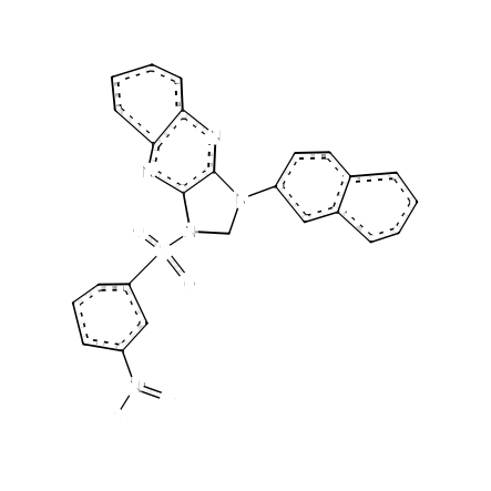 O=[N+]([O-])c1cccc(S(=O)(=O)N2CN(c3ccc4ccccc4c3)c3nc4ccccc4nc32)c1